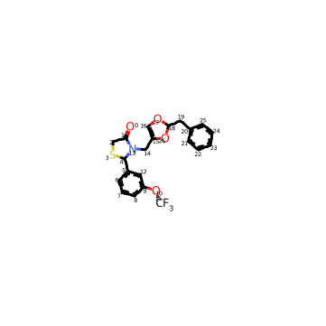 O=C1CSC(c2cccc(OC(F)(F)F)c2)N1CC1=COC(Cc2ccccc2)O1